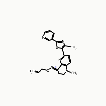 C=CCO/N=C1\CCN(C)c2ccc(-c3sc(-c4cccnc4)nc3C)nc21